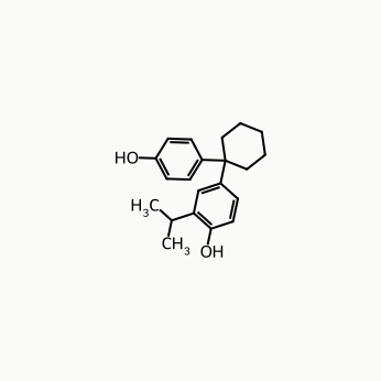 CC(C)c1cc(C2(c3ccc(O)cc3)CCCCC2)ccc1O